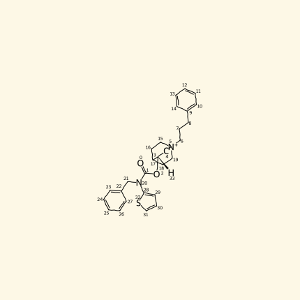 O=C(O[C@H]1C[N+]2(CCCc3ccccc3)CCC1CC2)N(Cc1ccccc1)c1cccs1